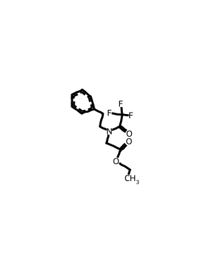 CCOC(=O)CN(CCc1ccccc1)C(=O)C(F)(F)F